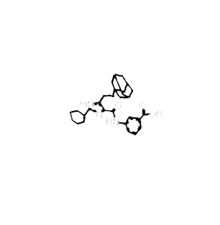 O=C(O)c1cccc(NC(=O)c2nc(C3CCCCC3)[nH]c2CCC23CC4CC(CC(C4)C2)C3)c1